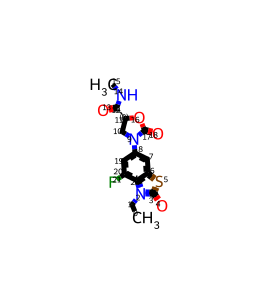 CCn1c(=O)sc2cc(N3C[C@H](C(=O)NC)OC3=O)cc(F)c21